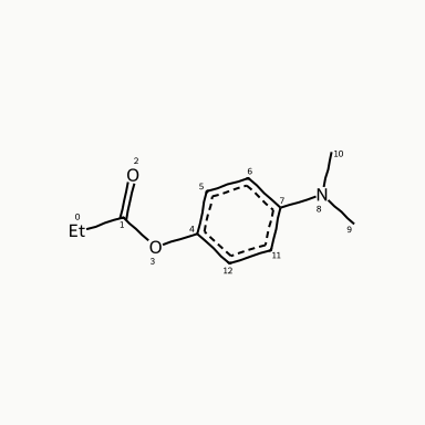 CCC(=O)Oc1ccc(N(C)C)cc1